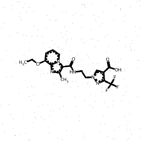 CCOc1cccn2c(C(=O)NCCn3cc(C(=O)O)c(C(F)(F)F)n3)c(C)nc12